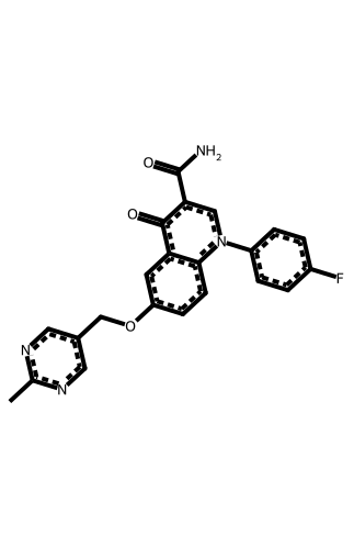 Cc1ncc(COc2ccc3c(c2)c(=O)c(C(N)=O)cn3-c2ccc(F)cc2)cn1